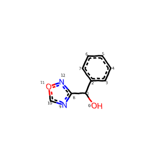 OC(c1ccccc1)c1ncon1